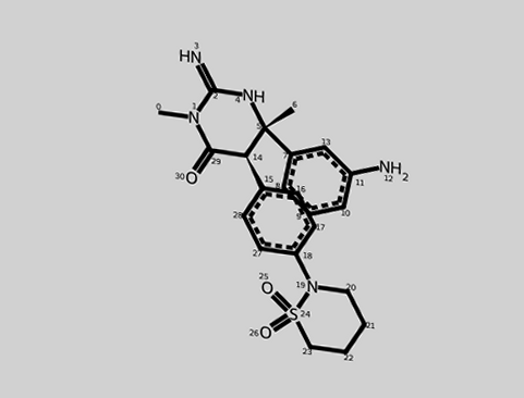 CN1C(=N)N[C@](C)(c2cccc(N)c2)[C@@H](c2ccc(N3CCCCS3(=O)=O)cc2)C1=O